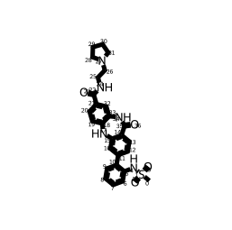 CS(=O)(=O)Nc1ccccc1-c1ccc2c(c1)Nc1ccc(C(=O)NCCN3CCCC3)cc1NC2=O